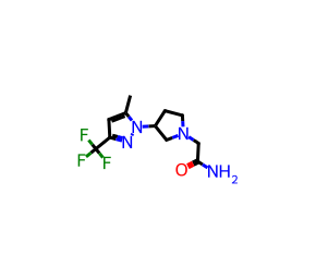 Cc1cc(C(F)(F)F)nn1C1CCN(CC(N)=O)C1